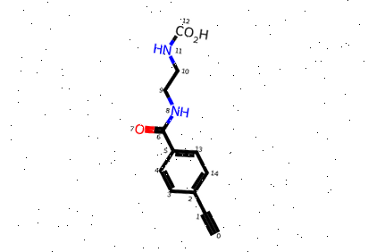 C#Cc1ccc(C(=O)NCCNC(=O)O)cc1